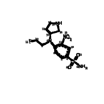 NS(=O)(=O)c1ccc(N(CCF)[C@H]2CCNC2)c([N+](=O)[O-])c1